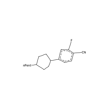 CCCCCC1CC[C](c2ccc(C#N)c(F)c2)CC1